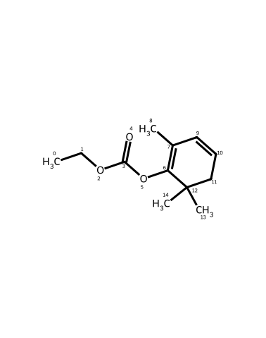 CCOC(=O)OC1=C(C)C=CCC1(C)C